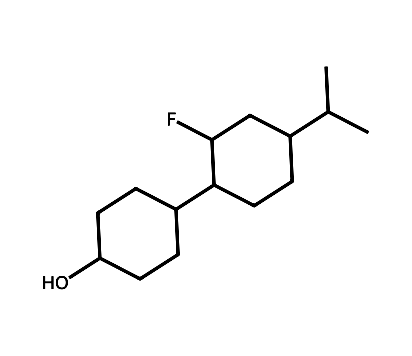 CC(C)C1CCC(C2CCC(O)CC2)C(F)C1